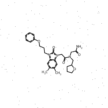 Cc1cc2c(cc1C)n(CC(=O)N(CC(N)=O)CC1CCCO1)c(=O)n2CCCOc1ccccc1